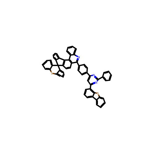 c1ccc(-c2nc(-c3ccc(-c4nc5ccccc5c5c6c(ccc45)C4(c5ccccc5Sc5ccccc54)c4ccccc4-6)cc3)cc(-c3cccc4c3sc3ccccc34)n2)cc1